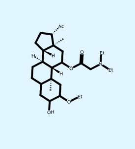 CCOC1C[C@@]2(C)C(CC[C@H]3[C@@H]4CC[C@H](C(C)=O)[C@@]4(C)CC(OC(=O)CN(CC)CC)[C@@H]32)CC1O